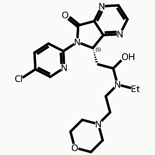 CCN(CCN1CCOCC1)C(O)C[C@H]1c2nccnc2C(=O)N1c1ccc(Cl)cn1